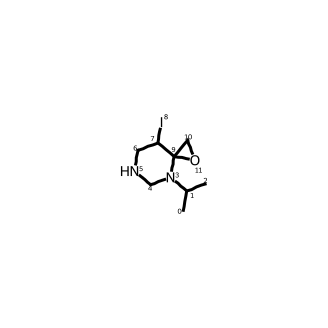 CC(C)N1CNCC(I)C12CO2